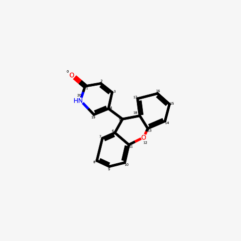 O=c1ccc(C2c3ccccc3Oc3ccccc32)c[nH]1